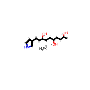 CC(O)CCC(O)CCC(O)CCc1cc[nH]c1.[PoH2]